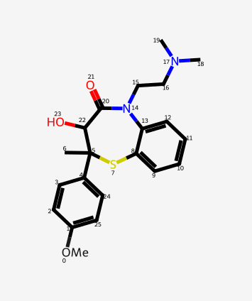 COc1ccc(C2(C)Sc3ccccc3N(CCN(C)C)C(=O)C2O)cc1